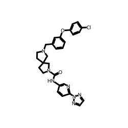 O=C(Nc1ccc(-n2nccn2)nc1)N1CCC2(CCN(Cc3cccc(Oc4ccc(Cl)cc4)c3)C2)C1